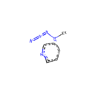 CCNN=[N+]=[N-].c1ccncc1